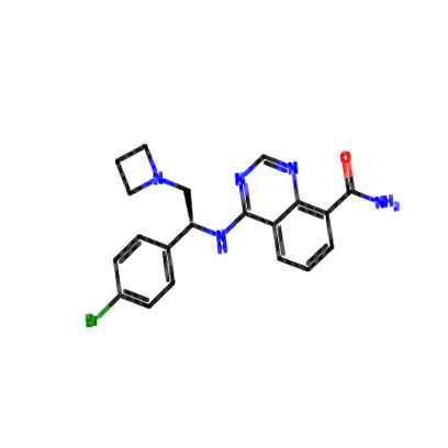 NC(=O)c1cccc2c(N[C@H](CN3CCC3)c3ccc(Br)cc3)ncnc12